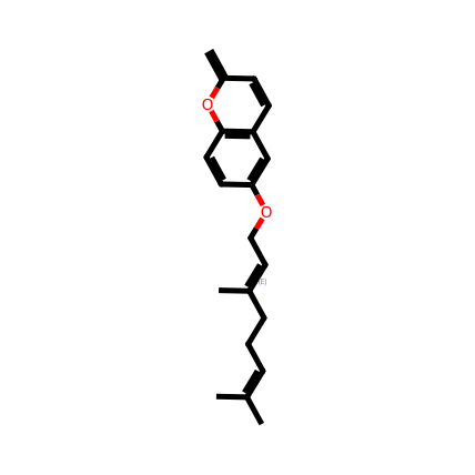 C=C1C=Cc2cc(OC/C=C(\C)CCC=C(C)C)ccc2O1